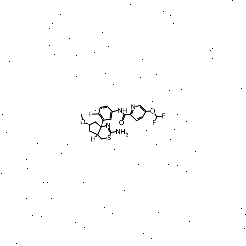 CO[C@@H]1C[C@H]2CSC(N)=N[C@@]2(c2cc(NC(=O)c3ccc(OC(F)F)cn3)ccc2F)C1